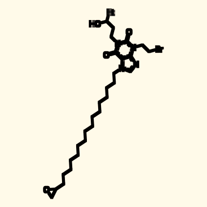 CCC(O)CCn1c(=O)c2c(ncn2CCCCCCCCCCCCCCCCC2CO2)n(CCBr)c1=O